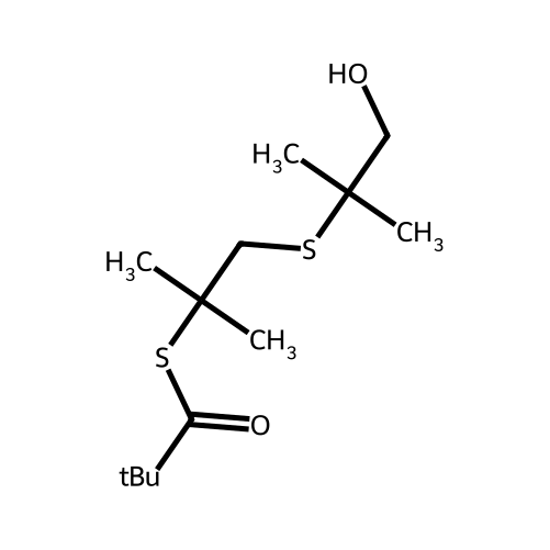 CC(C)(CO)SCC(C)(C)SC(=O)C(C)(C)C